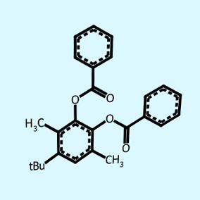 Cc1cc(C(C)(C)C)c(C)c(OC(=O)c2ccccc2)c1OC(=O)c1ccccc1